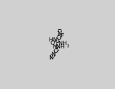 CN1CCN(c2ccc3[nH]c(-c4c(N)c5cc(F)c(N6CCCC6)cc5[nH]c4=O)nc3c2)CC1